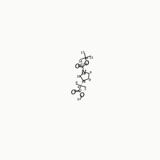 COC(=O)C(C)(C)[C@H]1CCN(C(=O)OC(C)(C)C)C1